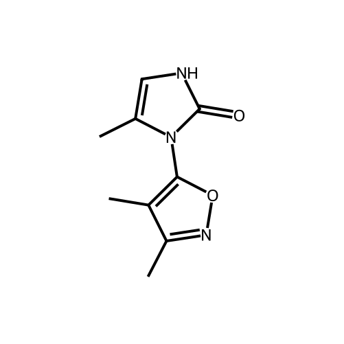 Cc1noc(-n2c(C)c[nH]c2=O)c1C